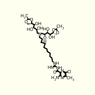 Cc1nc(N)c(C(=O)NC(=N)NCCCCCCCCCCCN(C[C@H](O)[C@@H](O)[C@H](O)[C@H]2CO[C@@H](C)O2)C[C@H](O)[C@@H](O)[C@H](O)[C@H]2CO[C@@H](C)O2)nc1Cl